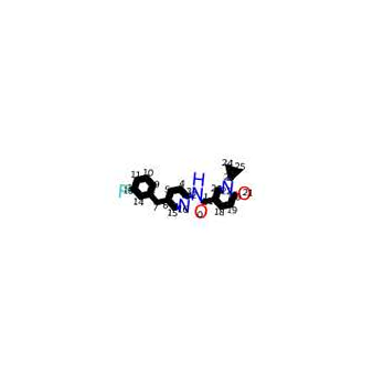 O=C(Nc1ccc(Cc2cccc(F)c2)cn1)c1ccc(=O)n(C2CC2)c1